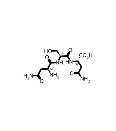 NC(=O)C[C@H](NC(=O)[C@H](CO)NC(=O)[C@@H](N)CC(N)=O)C(=O)O